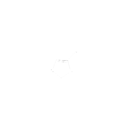 BrC1=C[N]CO1